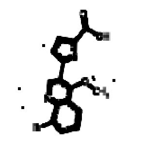 COc1c(-c2ccc(C(=O)O)s2)cnc2c(Br)cccc12